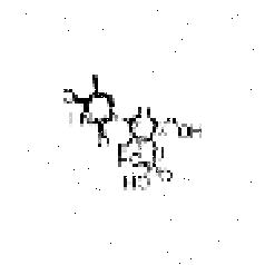 Cc1cn([C@@H]2O[C@H](CO)[C@@H](OP(=O)(O)O)[C@H]2F)c(=O)[nH]c1=O